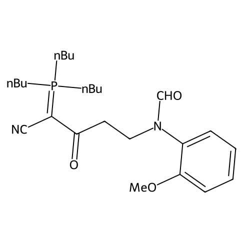 CCCCP(CCCC)(CCCC)=C(C#N)C(=O)CCN(C=O)c1ccccc1OC